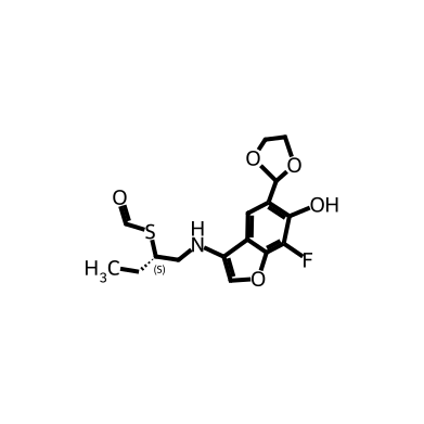 CC[C@@H](CNc1coc2c(F)c(O)c(C3OCCO3)cc12)SC=O